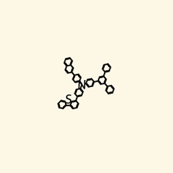 c1ccc(-c2cc(-c3ccccc3)cc(-c3ccc(N(c4ccc(-c5ccc6ccccc6c5)cc4)c4ccc(-c5cccc6c5sc5ccccc56)cc4)cc3)c2)cc1